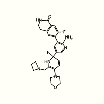 Nc1ncc(C2(F)C=CC(N3CCOCC3)=C(CN3CCC3)N2)cc1-c1cc2c(cc1F)C(=O)NCC2